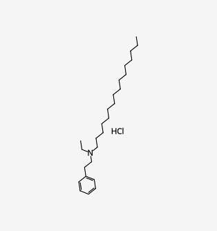 CCCCCCCCCCCCCCCCN(CC)CCc1ccccc1.Cl